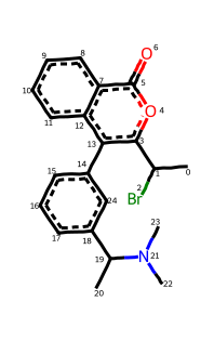 CC(Br)c1oc(=O)c2ccccc2c1-c1cccc(C(C)N(C)C)c1